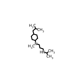 CC(C)CC1CCC(N(C)CCCNC(C)C)CC1